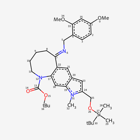 COc1ccc(CN=C2CCCCN(C(=O)OC(C)(C)C)c3cc4c(cc32)cc(CO[Si](C)(C)C(C)(C)C)n4C)c(OC)c1